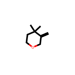 C=C1COCCC1(C)C